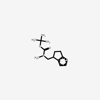 CN(CC1CCc2sccc21)C(=O)OC(C)(C)C